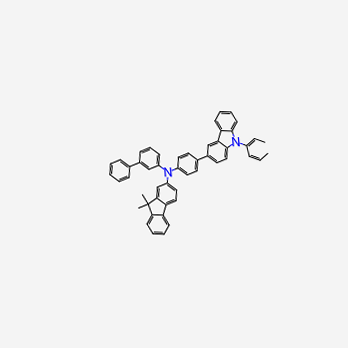 C/C=C\C(=C/C)n1c2ccccc2c2cc(-c3ccc(N(c4cccc(-c5ccccc5)c4)c4ccc5c(c4)C(C)(C)c4ccccc4-5)cc3)ccc21